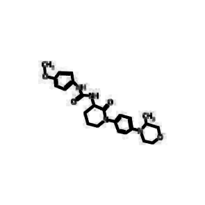 COc1ccc(NC(=O)NC2CCCN(c3ccc(N4CCOCC4C)cc3)C2=O)cc1